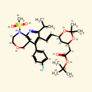 CC(C)c1nc2c(c(-c3ccc(F)cc3)c1C=C[C@@H]1C[C@H](CC(=O)OC(C)(C)C)OC(C)(C)O1)COCCN2S(C)(=O)=O